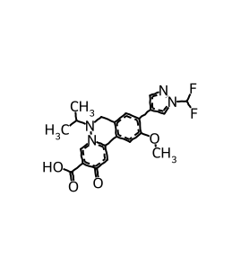 COc1cc2c(cc1-c1cnn(C(F)F)c1)CN(C(C)C)n1cc(C(=O)O)c(=O)cc1-2